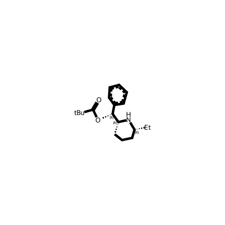 CC[C@@H]1CCC[C@H]([C@H](OC(=O)C(C)(C)C)c2ccccc2)N1